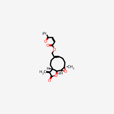 C=C1C(=O)O[C@H]2[C@H]1CC/C(COC(=O)/C=C\C(=O)C(C)C)=C\CC[C@@]1(C)O[C@@H]21